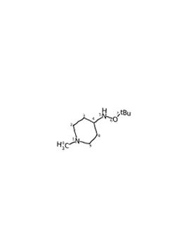 CN1CCC(NOC(C)(C)C)CC1